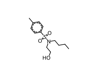 CCCCN(CCO)S(=O)(=O)c1ccc(C)cc1